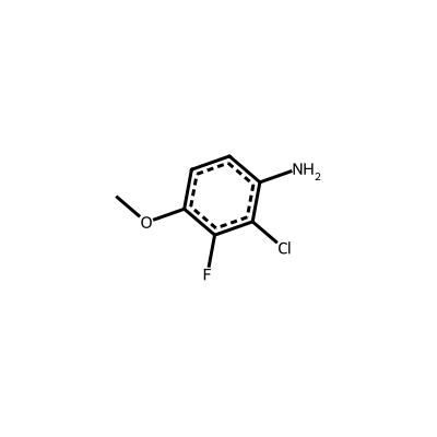 COc1ccc(N)c(Cl)c1F